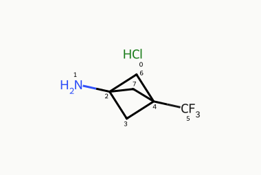 Cl.NC12CC(C(F)(F)F)(C1)C2